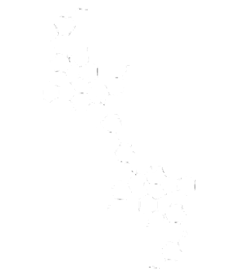 C=Cc1ccc(Oc2ccc(C3(c4c(F)ccc(F)c4F)c4ccccc4-c4ccc(N(c5ccc(F)cc5)c5ccc(-c6ccc(N(c7ccc(F)cc7)c7ccc8c(c7)C(c7ccc(Oc9ccc(C=C)cc9)cc7)(c7c(F)ccc(F)c7F)c7ccccc7-8)cc6)cc5)cc43)cc2)cc1